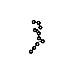 c1ccc(-c2ccc(-c3ccc(-n4c5ccccc5c5cc(-c6ccc7c(c6)c6ccccc6n7-c6cccc(-c7cccc(-c8ccccc8)c7)c6)ccc54)cc3)cc2)cc1